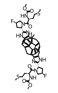 COC(=O)N[C@@H](CCSC)C(=O)N1C[C@H](F)C[C@H]1c1nc2cc(-c3cc4ccc3CCc3ccc(c(-c5ccc6[nH]c([C@@H]7C[C@@H](F)CN7C(=O)[C@H](CCSC)NC(=O)OC)nc6c5)c3)C[C@H]4C)ccc2[nH]1